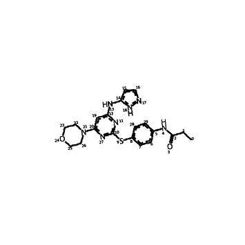 CCC(=O)Nc1ccc(Sc2nc(Nc3ccn[nH]3)cc(N3CCOCC3)n2)cc1